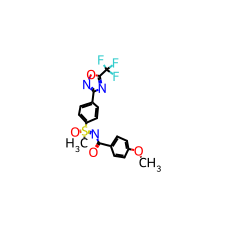 COc1ccc(C(=O)N=S(C)(=O)c2ccc(-c3noc(C(F)(F)F)n3)cc2)cc1